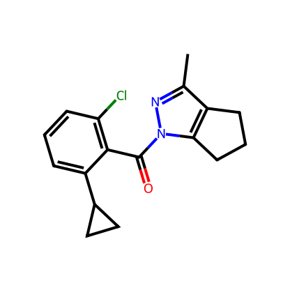 Cc1nn(C(=O)c2c(Cl)cccc2C2CC2)c2c1CCC2